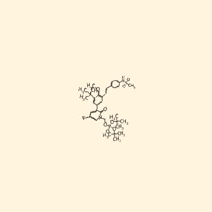 COc1c(/C=C/c2ccc(NS(C)(=O)=O)cc2)cc(-c2cc(F)cn(COP(=O)(OC(C)(C)C)OC(C)(C)C)c2=O)cc1C(C)(C)C